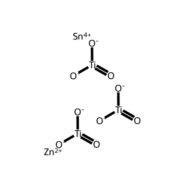 [O]=[Ti]([O-])[O-].[O]=[Ti]([O-])[O-].[O]=[Ti]([O-])[O-].[Sn+4].[Zn+2]